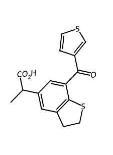 CC(C(=O)O)c1cc2c(c(C(=O)c3ccsc3)c1)SCC2